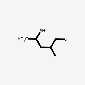 CC(CCl)CC(S)C(=O)O